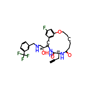 C#CC[C@@H]1NC(=O)CCCCCOc2cc(F)cc(c2)C[C@@H]([C@H](O)CNCc2cccc(C(F)(F)F)c2)NC1=O